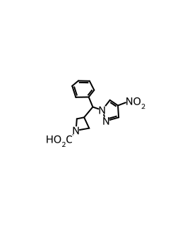 O=C(O)N1CC(C(c2ccccc2)n2cc([N+](=O)[O-])cn2)C1